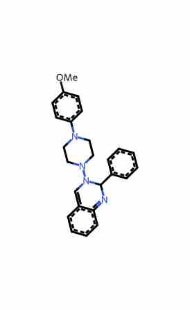 COc1ccc(N2CCN(N3C=c4ccccc4=NC3c3ccccc3)CC2)cc1